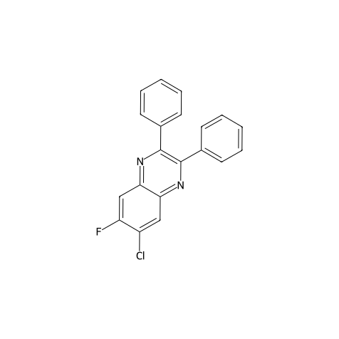 Fc1cc2nc(-c3ccccc3)c(-c3ccccc3)nc2cc1Cl